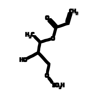 C=CC(=O)OC(C)C(O)COS(=O)(=O)O